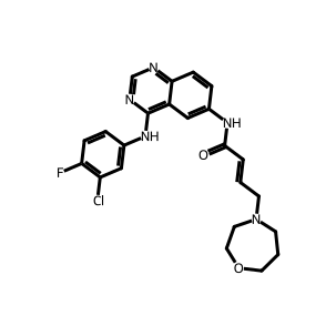 O=C(/C=C/CN1CCCOCC1)Nc1ccc2ncnc(Nc3ccc(F)c(Cl)c3)c2c1